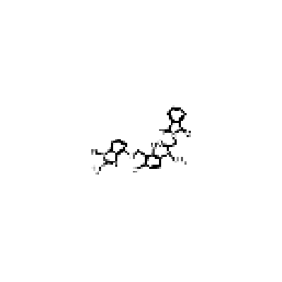 CCn1c(C)nc2c(OCc3c(Cl)ccc(N(C)C(=O)CN4C(=O)c5ccccc5C4=O)c3Cl)cccc21